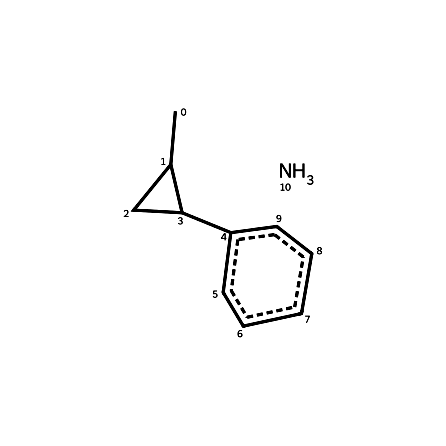 CC1CC1c1ccccc1.N